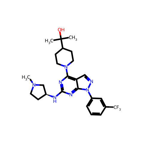 CN1CC[C@H](Nc2nc(N3CCC(C(C)(C)O)CC3)c3cnn(-c4cccc(C(F)(F)F)c4)c3n2)C1